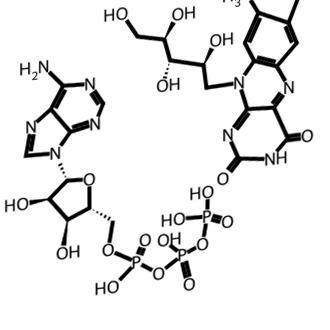 Cc1cc2nc3c(=O)[nH]c(=O)nc-3n(C[C@H](O)[C@H](O)[C@H](O)CO)c2cc1C.Nc1ncnc2c1ncn2[C@@H]1O[C@H](COP(=O)(O)OP(=O)(O)OP(=O)(O)O)[C@@H](O)[C@H]1O